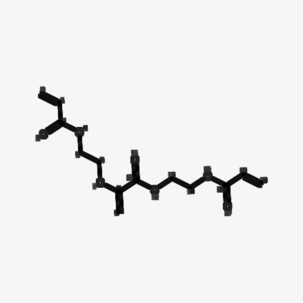 C=CC(=O)OCCOC(=C)C(=O)OCCOC(=O)C=C